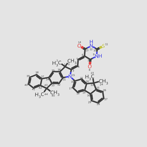 CC1(C)/C(=C\C=C2C(=O)NC(=S)NC2=O)N(c2ccc3c(c2)C(C)(C)c2ccccc2-3)c2cc3c(cc21)-c1ccccc1C3(C)C